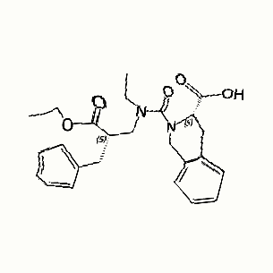 CCOC(=O)[C@@H](Cc1ccccc1)CN(CC)C(=O)N1Cc2ccccc2C[C@H]1C(=O)O